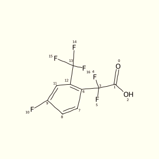 O=C(O)C(F)(F)c1ccc(F)cc1C(F)(F)F